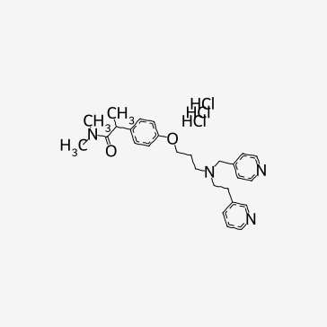 CC(C(=O)N(C)C)c1ccc(OCCCN(CCc2cccnc2)Cc2ccncc2)cc1.Cl.Cl.Cl